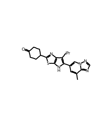 Cc1cc(-c2[nH]c3sc(C4CCC(=O)CC4)nc3c2C(C)C)cn2ncnc12